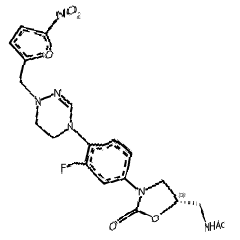 CC(=O)NC[C@H]1CN(c2ccc(N3C=NN(Cc4ccc([N+](=O)[O-])o4)CC3)c(F)c2)C(=O)O1